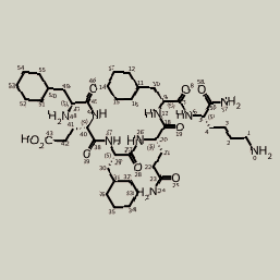 NCCCC[C@H](NC(=O)[C@H](CC1CCCCC1)NC(=O)[C@H](CCC(N)=O)NC(=O)[C@H](CC1CCCCC1)NC(=O)[C@H](CCC(=O)O)NC(=O)[C@@H](N)CC1CCCCC1)C(N)=O